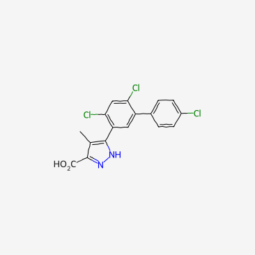 Cc1c(C(=O)O)n[nH]c1-c1cc(-c2ccc(Cl)cc2)c(Cl)cc1Cl